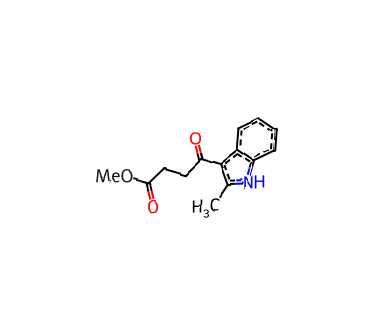 COC(=O)CCC(=O)c1c(C)[nH]c2ccccc12